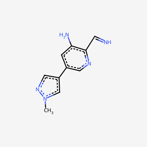 Cn1cc(-c2cnc(C=N)c(N)c2)cn1